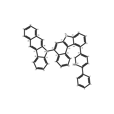 C1=C(c2ccccc2)NCC(c2cccc3oc4cc(-n5c6ccccc6c6cc7ccccc7cc65)c5ccccc5c4c23)=C1